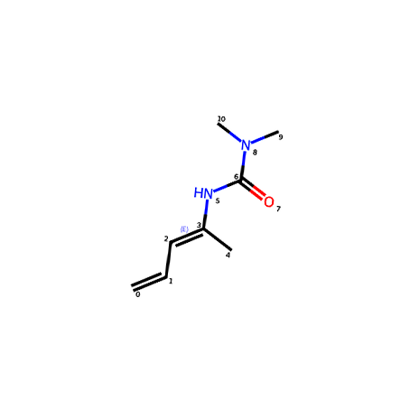 C=C/C=C(\C)NC(=O)N(C)C